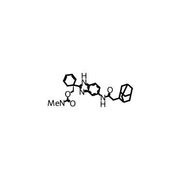 CNC(=O)OC[C@]1(c2nc3cc(NC(=O)CC4C5CC6CC(C5)CC4C6)ccc3[nH]2)C=CC=CC1